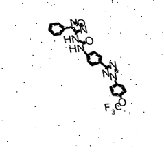 O=C(Nc1ccc(-c2ncn(-c3ccc(OC(F)(F)F)cc3)n2)cc1)Nc1nonc1-c1ccccc1